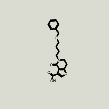 O=C(O)c1coc2c1C(=O)N(CCCCOCc1ccccc1)CC2